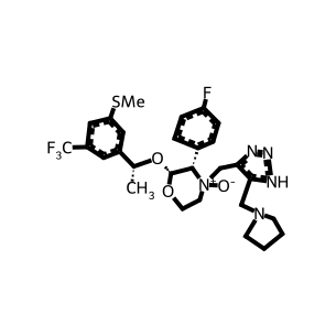 CSc1cc([C@@H](C)O[C@H]2OCC[N+]([O-])(Cc3nn[nH]c3CN3CCCC3)[C@H]2c2ccc(F)cc2)cc(C(F)(F)F)c1